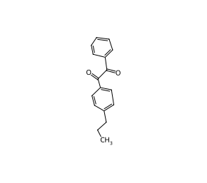 CCCc1ccc(C(=O)C(=O)c2ccccc2)cc1